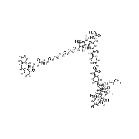 CCC[C@@H]1O[C@@H]2C[C@H]3[C@@H]4C[C@H](F)C5=CC(=O)C=C[C@]5(C)[C@@]4(F)[C@@H](O)C[C@]3(C)[C@]2(C(=O)COc2ccc(NC(=O)OCc3ccc(NC(=O)[C@H](CCCNC(N)=O)NC(=O)[C@@H](NC(=O)CCOCCOCCOCCOCCNC(=O)CCC(=O)N4Cc5ccccc5C#Cc5ccccc54)C(C)C)cc3)cc2)O1